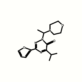 CC(C)c1nc(-c2ccco2)nn(C(C)N2CCOCC2)c1=O